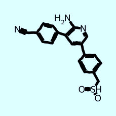 N#Cc1ccc(-c2cc(-c3ccc(C[SH](=O)=O)cc3)cnc2N)cc1